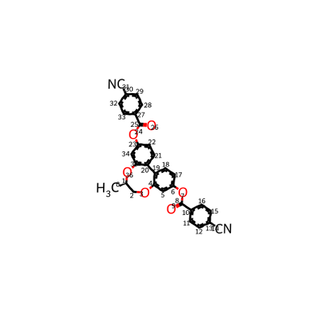 C[C@@H]1COc2cc(OC(=O)c3ccc(C#N)cc3)ccc2-c2ccc(OC(=O)c3ccc(C#N)cc3)cc2O1